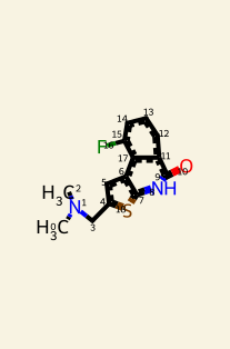 CN(C)Cc1cc2c([nH]c(=O)c3cccc(F)c32)s1